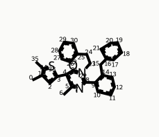 Cc1cc(-c2c(C)nc(-c3ccccc3Cc3ccccc3)n(CCc3ccccc3)c2=O)sc1C